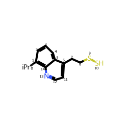 CC(C)c1cccc2c(CCSS)ccnc12